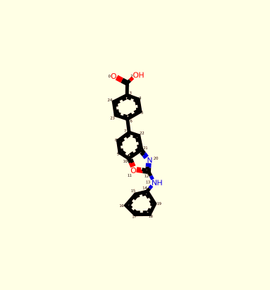 O=C(O)c1ccc(-c2ccc3oc(Nc4ccccc4)nc3c2)cc1